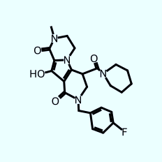 CN1CCn2c(c(O)c3c2C(C(=O)N2CCCCC2)CN(Cc2ccc(F)cc2)C3=O)C1=O